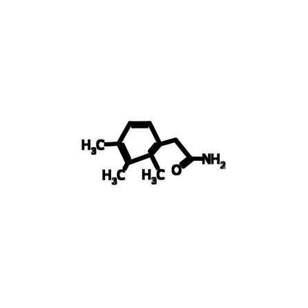 Cc1ccc(CC(N)=O)c(C)c1C